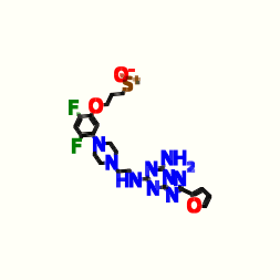 C[S+]([O-])CCCOc1cc(N2CCN(CCNc3nc(N)n4nc(-c5ccco5)nc4n3)CC2)c(F)cc1F